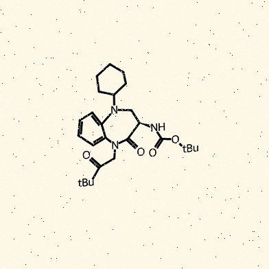 CC(C)(C)OC(=O)N[C@@H]1CN(C2CCCCC2)c2ccccc2N(CC(=O)C(C)(C)C)C1=O